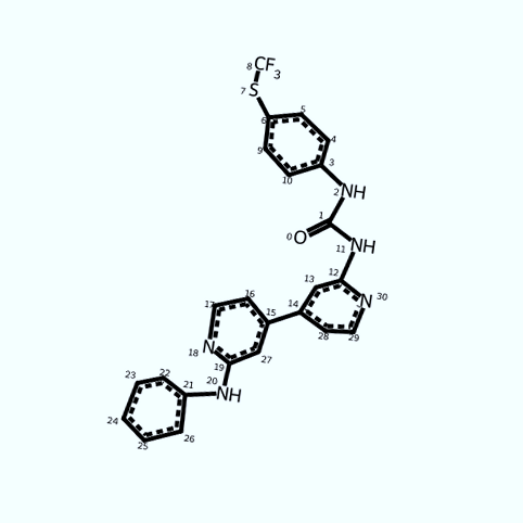 O=C(Nc1ccc(SC(F)(F)F)cc1)Nc1cc(-c2ccnc(Nc3ccccc3)c2)ccn1